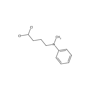 CN(CCCC(Cl)Cl)c1ccccc1